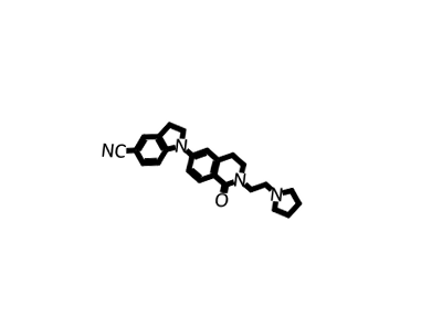 N#Cc1ccc2c(c1)CCN2c1ccc2c(c1)CCN(CCN1CCCC1)C2=O